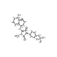 CC1C(=O)N(c2ccc(SC(F)(F)F)cc2)C(=O)N1Cc1ccnc2c(F)cccc12